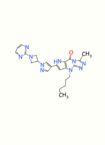 CCCCCn1c2cc(-c3cnn(C4CN(c5ncccn5)C4)c3)[nH]c2c(=O)n2c(C)nnc12